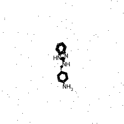 N[C@H]1CC[C@H](CNc2nc3ccccc3[nH]2)CC1